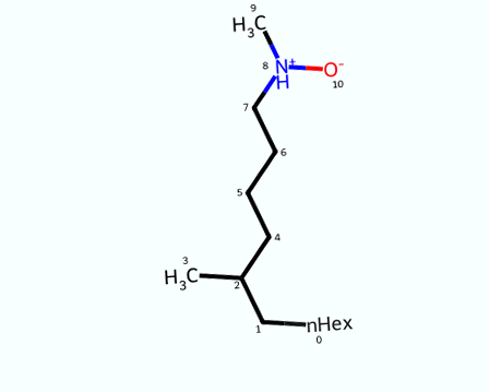 CCCCCCCC(C)CCCC[NH+](C)[O-]